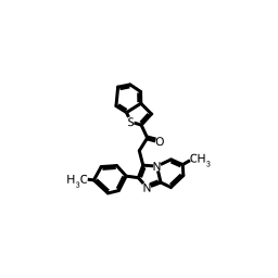 Cc1ccc(-c2nc3ccc(C)cn3c2CC(=O)c2cc3ccccc3s2)cc1